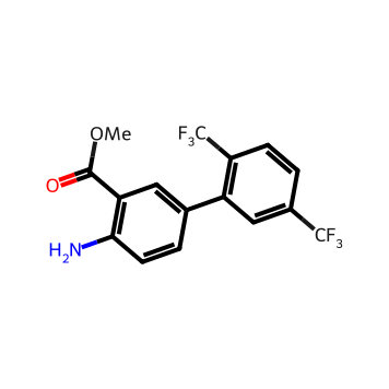 COC(=O)c1cc(-c2cc(C(F)(F)F)ccc2C(F)(F)F)ccc1N